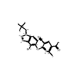 CC(=O)c1cc(C#N)c(Oc2ccc3c(nnn3CC(C)(C)C)c2Br)nc1C